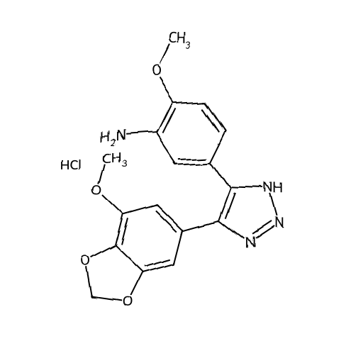 COc1ccc(-c2[nH]nnc2-c2cc(OC)c3c(c2)OCO3)cc1N.Cl